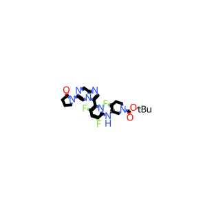 CC(C)(C)OC(=O)N1CC[C@H](F)[C@@H](Nc2nc(-c3cnc4cnc(N5CCCC5=O)cn34)c(F)cc2F)C1